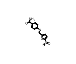 NC(=O)c1ccc(/N=C/c2ccc([N+](=O)[O-])s2)cc1